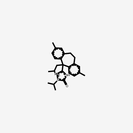 Cc1ccc2c(c1)CCc1cc(C)ccc1C2(CC(C)N)c1nn(C(C)C)c(=O)[nH]1